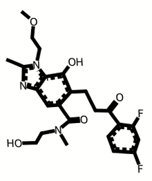 COCCn1c(C)nc2cc(C(=O)N(C)CCO)c(CCC(=O)c3ccc(F)cc3F)c(O)c21